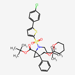 CC(C)(C)OC(=O)[C@@]1(N(CC[Si](C)(C)C)S(=O)(=O)c2ccc(-c3ccc(Cl)cc3)s2)C[C@@]1(COC1CCCCO1)c1ccccc1